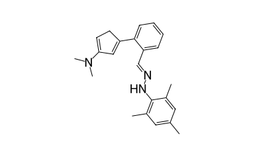 Cc1cc(C)c(N/N=C/c2ccccc2C2=CC(N(C)C)=CC2)c(C)c1